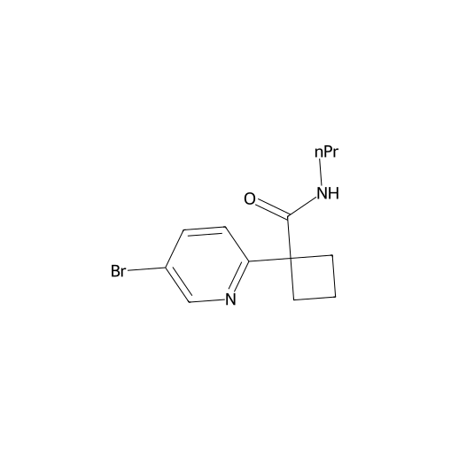 CCCNC(=O)C1(c2ccc(Br)cn2)CCC1